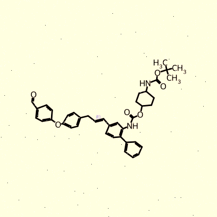 CC(C)(C)OC(=O)NC1CCC(OC(=O)Nc2cc(/C=C/Cc3ccc(Oc4ccc(C=O)cc4)cc3)ccc2-c2ccccc2)CC1